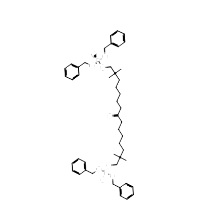 CC(C)(CCCCCC(=O)CCCCCC(C)(C)COP(=O)(OCc1ccccc1)OCc1ccccc1)COP(=O)(OCc1ccccc1)OCc1ccccc1